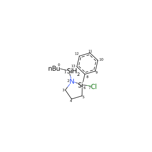 CCCC[SiH2]N1CCC[Si]1(Cl)c1ccccc1